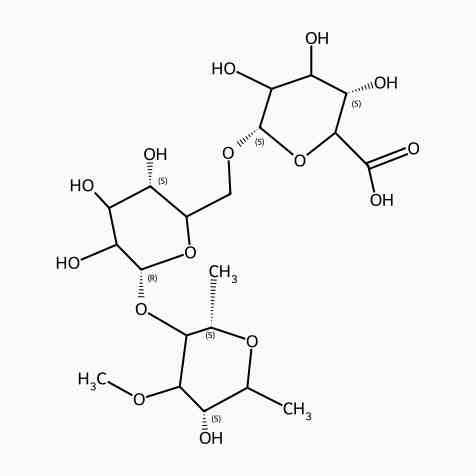 COC1C(O[C@H]2OC(CO[C@H]3OC(C(=O)O)[C@@H](O)C(O)C3O)[C@@H](O)C(O)C2O)[C@H](C)OC(C)[C@@H]1O